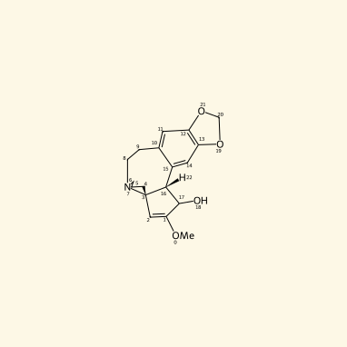 COC1=C[C@]23CCCN2CCc2cc4c(cc2[C@@H]3C1O)OCO4